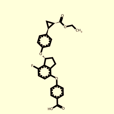 CCOC(=O)[C@H]1C[C@@H]1c1ccc(O[C@@H]2CCc3c(Oc4ccc(C(=O)O)cc4)ccc(F)c32)cc1